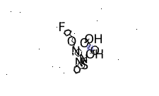 CN(C1=Nc2ccccc2CS1)C1CCN(CCOCc2ccc(F)cc2)CC1.O=C(O)/C=C/C(=O)O